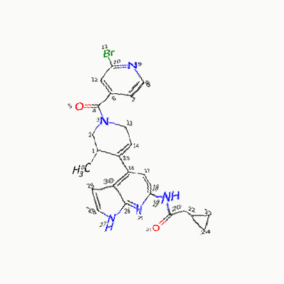 CC1CN(C(=O)c2ccnc(Br)c2)CC=C1c1cc(NC(=O)C2CC2)nc2[nH]ccc12